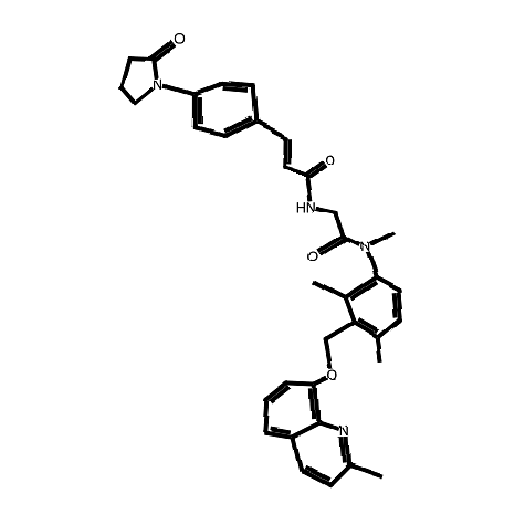 Cc1ccc2cccc(OCc3c(C)ccc(N(C)C(=O)CNC(=O)C=Cc4ccc(N5CCCC5=O)cc4)c3C)c2n1